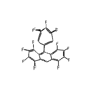 Fc1cc(-c2c3c(F)c(F)c(F)c(F)c3cc3c(F)c(F)c(F)c(F)c23)cc(F)c1F